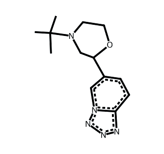 CC(C)(C)N1CCOC(c2ccc3nnnn3c2)C1